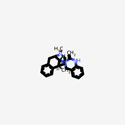 C=C1Nc2ccccc2CN1[C@H]1C2Cc3ccccc3[C@@]1(C)CCN2C